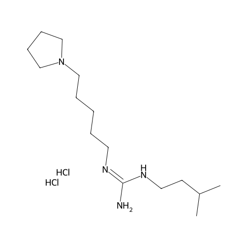 CC(C)CCNC(N)=NCCCCCN1CCCC1.Cl.Cl